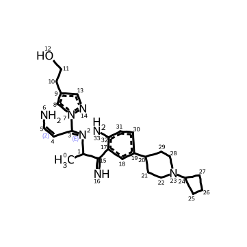 CC(/N=C(\C=C/N)n1cc(CCO)cn1)C(=N)c1cc(C2CCN(C3CCC3)CC2)ccc1N